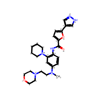 CN(CCN1CCOCC1)c1ccc(NC(=O)c2ccc(-c3cn[nH]c3)o2)c(N2CCCCC2)c1